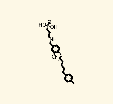 Cc1ccc(CCCCCSc2ccc(CNCCCP(=O)(O)O)cc2C(F)(F)F)cc1